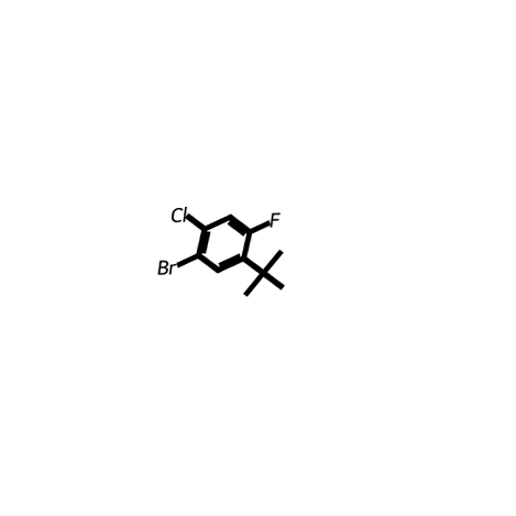 CC(C)(C)c1cc(Br)c(Cl)cc1F